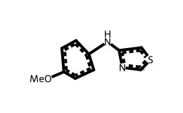 COc1ccc(Nc2cs[c]n2)cc1